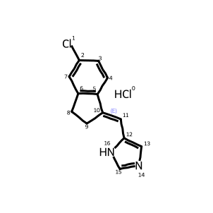 Cl.Clc1ccc2c(c1)CC/C2=C\c1cnc[nH]1